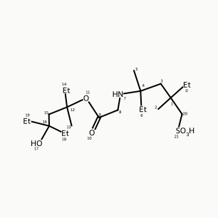 CCC(C)(CC(C)(CC)NCC(=O)OC(C)(CC)CC(O)(CC)CC)CS(=O)(=O)O